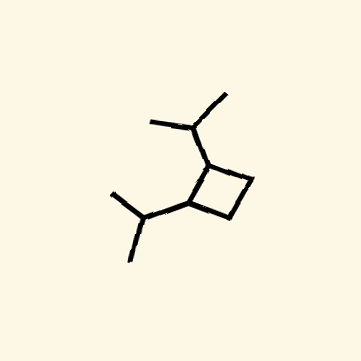 CC(C)C1CCC1C(C)C